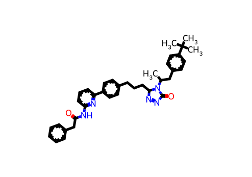 CC(Cc1ccc(C(C)(C)C)cc1)N1C(=O)N=NC1CCCc1ccc(-c2cccc(NC(=O)Cc3ccccc3)n2)cc1